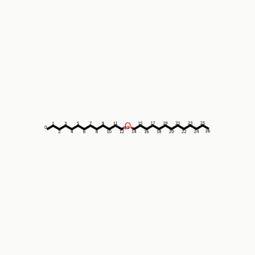 CCCCCCCCCCCCCOCCCCCCCCCCCCC